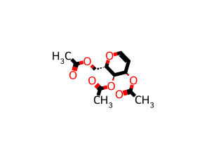 CC(=O)OC[C@@H]1OC=C[C@H](OC(C)=O)[C@@H]1OC(C)=O